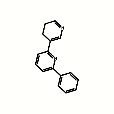 C1=NC=C(c2cccc(-c3ccccc3)n2)CC1